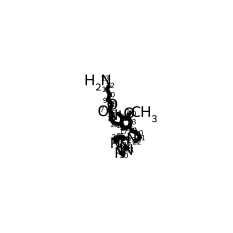 COC1=C2CN(C(=O)OCCCCN)CCC2=CC([C@H]2CCCN2c2ccnc3ncnn23)C1